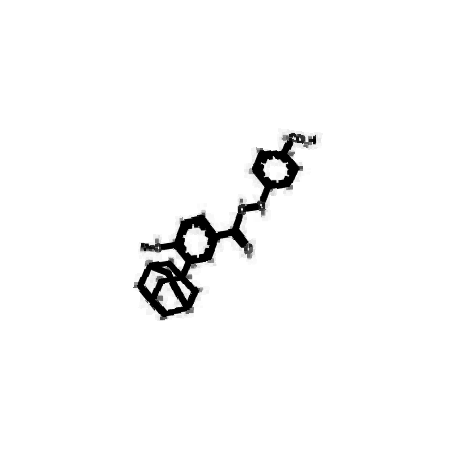 COc1ccc(C(=O)OOc2ccc(C(=O)O)cc2)cc1C12CC3CC(CC(C3)C1)C2